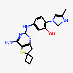 CC1=CN(c2ccc(NC3N=C(N)C4=C(CC5(CCC5)S4)N3)cc2O)CN1